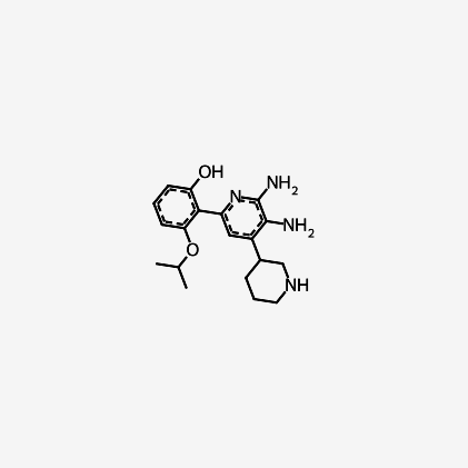 CC(C)Oc1cccc(O)c1-c1cc(C2CCCNC2)c(N)c(N)n1